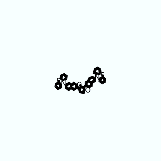 c1ccc2c(c1)Sc1ccccc1N2c1ccc2cc3c(cc2c1)oc1c3ccc2oc3cc4cc(N5c6ccccc6Sc6ccccc65)ccc4cc3c21